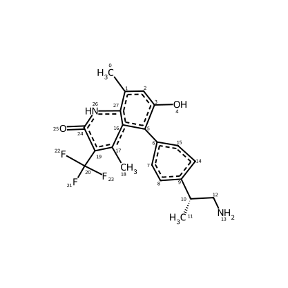 Cc1cc(O)c(-c2ccc([C@@H](C)CN)cc2)c2c(C)c(C(F)(F)F)c(=O)[nH]c12